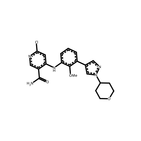 COc1c(Nc2cc(Cl)ncc2C(N)=O)cccc1-c1cnn(C2CCOCC2)c1